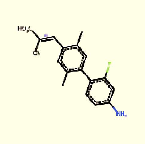 Cc1cc(-c2ccc(N)cc2F)c(C)cc1/C=C(\C#N)C(=O)O